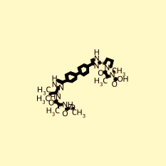 COC(=O)N[C@@H](C)C(=O)N[C@@H](c1nc(-c2ccc(-c3ccc(-c4c[nH]c([C@@H]5CCCN5C(=O)[C@H](C)N(C)C(=O)O)n4)cc3)cc2)c[nH]1)C(C)C